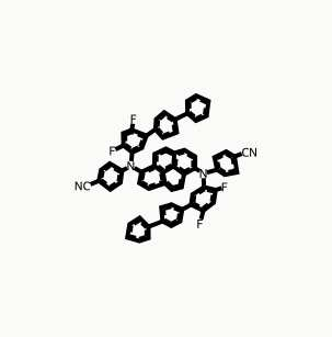 N#Cc1ccc(N(c2cc(-c3ccc(-c4ccccc4)cc3)c(F)cc2F)c2ccc3ccc4c(N(c5ccc(C#N)cc5)c5cc(-c6ccc(-c7ccccc7)cc6)c(F)cc5F)ccc5ccc2c3c54)cc1